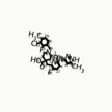 CC[C@@H]1CC(Cc2nc(Nc3cc(C)[nH]n3)ccc2F)(C(=O)O)CCN1Cc1ccc(C)c(Cl)c1F